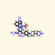 CN1CCN(C2CCN(c3ccc(Nc4nc(NC5COC5)c(-c5cccc6[nH]ccc56)nc4C(N)=O)cc3F)CC2)CC1